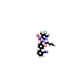 CCCCC(=O)N(Cc1ccc(-c2ccccc2C#N)cc1)c1nc(C)c(Cl)c(C)c1[N+](=O)[O-]